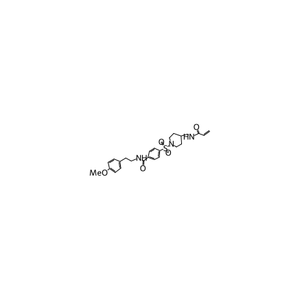 C=CC(=O)NCC1CCN(S(=O)(=O)c2ccc(C(=O)NCCc3ccc(OC)cc3)cc2)CC1